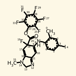 Cc1cc(I)ccc1NC1=CC2=NCN(C)C2=CC1(F)C(=O)Oc1c(F)c(F)c(F)c(F)c1F